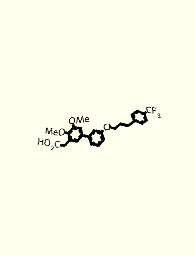 COc1cc(-c2cccc(OC/C=C/c3ccc(C(F)(F)F)cc3)c2)cc(CC(=O)O)c1OC